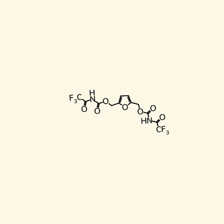 O=C(NC(=O)C(F)(F)F)OCc1ccc(COC(=O)NC(=O)C(F)(F)F)o1